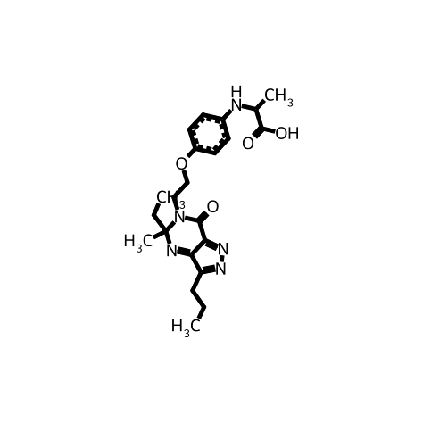 CCCC1=NN=C2C(=O)N(CCOc3ccc(NC(C)C(=O)O)cc3)C(C)(CC)N=C12